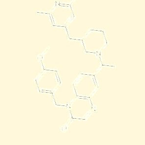 COc1ccc(Cn2c(=O)cnc3cc(C(C)N4CCCC(Cc5cc(C)nc(C)c5)C4)ccc32)cc1